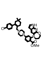 COC(=O)c1ccc(N2CCN(CC3=C(c4ccc(Cl)cc4)CC(C)(C)CC3)CC2)cc1N1CCCOc2nc3[nH]ccc3cc21